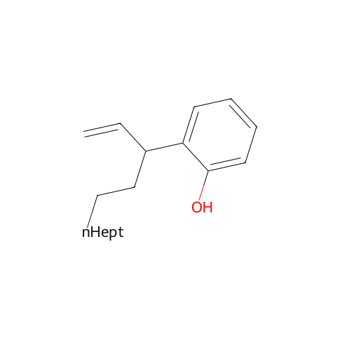 C=CC(CCCCCCCCC)c1ccccc1O